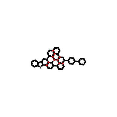 c1ccc(-c2ccc(-c3ccc(N(c4ccccc4-c4ccc5sc6ccccc6c5c4)c4ccccc4-c4ccccc4-c4ccc5ccccc5c4)cc3)cc2)cc1